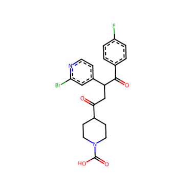 O=C(CC(C(=O)c1ccc(F)cc1)c1ccnc(Br)c1)C1CCN(C(=O)O)CC1